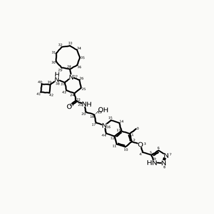 Cc1c(OCc2cnn[nH]2)ccc2c1CCN(C[C@@H](O)CNC(=O)C1CCN(C3CCCCCCCC3)C(NC3CCC3)C1)C2